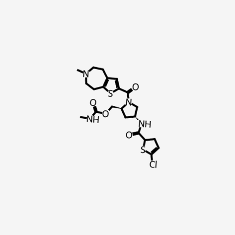 CNC(=O)OC[C@@H]1C[C@@H](NC(=O)C2CC=C(Cl)S2)CN1C(=O)c1cc2c(s1)CCN(C)CC2